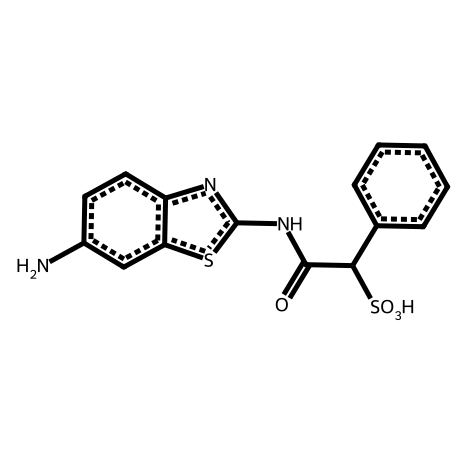 Nc1ccc2nc(NC(=O)C(c3ccccc3)S(=O)(=O)O)sc2c1